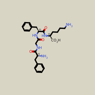 NCCCC[C@H](NC(=O)[C@H](Cc1ccccc1)NC(=O)CNC(=O)[C@@H](N)Cc1ccccc1)C(=O)O